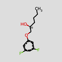 CCCC[C@H](O)COc1cc(F)cc(F)c1